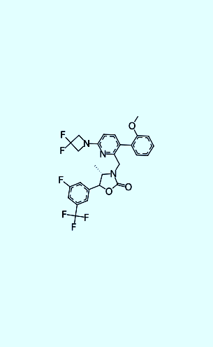 COc1ccccc1-c1ccc(N2CC(F)(F)C2)nc1CN1C(=O)OC(c2cc(F)cc(C(F)(F)F)c2)[C@@H]1C